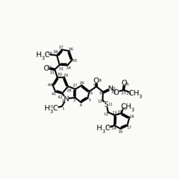 CCn1c2ccc(C(=O)/C(CSCc3c(C)cccc3C)=N/OC(C)=O)cc2c2cc(C(=O)c3ccccc3C)ccc21